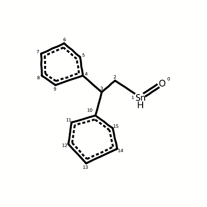 [O]=[SnH][CH2]C(c1ccccc1)c1ccccc1